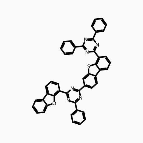 c1ccc(-c2nc(-c3ccc4c(c3)sc3c(-c5nc(-c6ccccc6)nc(-c6ccccc6)n5)cccc34)nc(-c3cccc4c3oc3ccccc34)n2)cc1